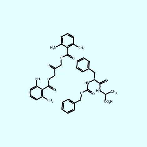 C[C@H](NC(=O)[C@H](Cc1ccccc1)NC(=O)OCc1ccccc1)C(=O)O.Cc1cccc(N)c1C(=O)OCC(=O)COC(=O)c1c(C)cccc1N